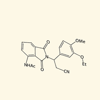 CCOc1cc(C(CC#N)N2C(=O)c3cccc(NC(C)=O)c3C2=O)ccc1OC